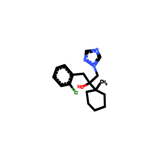 CC1(C(O)(Cc2ccccc2Cl)Cn2cncn2)CCCCC1